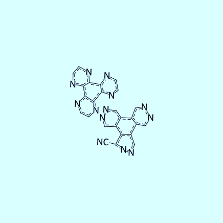 N#Cc1nncc2c3cnncc3c3cnncc3c12.c1cnc2c(n1)c1nccnc1c1nccnc21